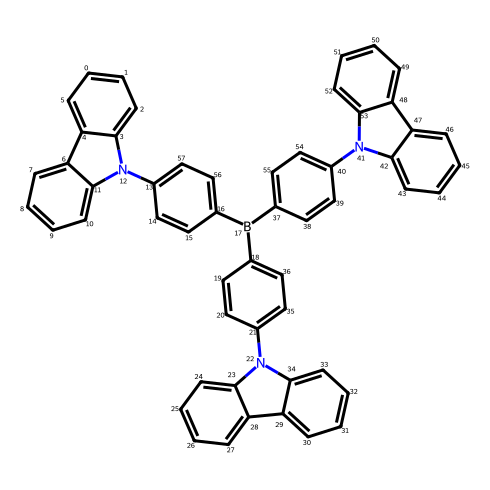 c1ccc2c(c1)c1ccccc1n2-c1ccc(B(c2ccc(-n3c4ccccc4c4ccccc43)cc2)c2ccc(-n3c4ccccc4c4ccccc43)cc2)cc1